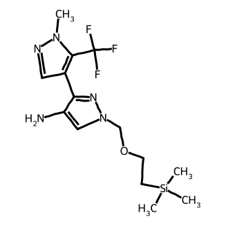 Cn1ncc(-c2nn(COCC[Si](C)(C)C)cc2N)c1C(F)(F)F